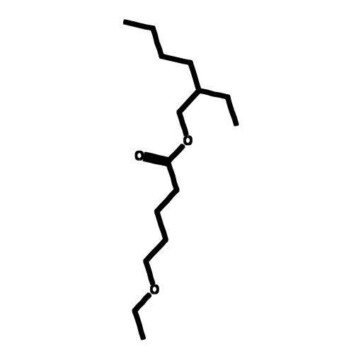 CCCCC(CC)COC(=O)CCCCOCC